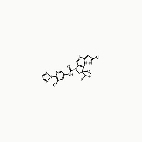 COC1(C(F)F)CN(C(=O)Nc2cnc(-n3nccn3)c(Cl)c2)c2cnc3cc(Cl)nn3c21